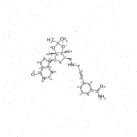 CC1(C)O[C@@H]2[C@@H](CNCC#Cc3cccc(C(N)=O)c3)C[C@@H](n3ccc4c(Cl)ncnc43)[C@@H]2O1